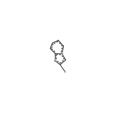 Ic1cn2ccccc2n1